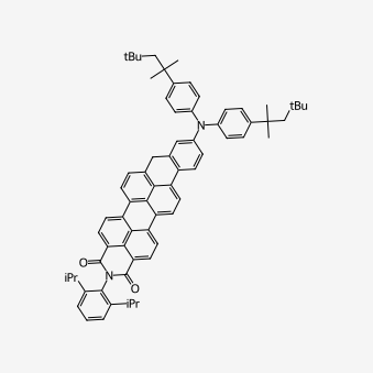 CC(C)c1cccc(C(C)C)c1N1C(=O)c2ccc3c4ccc5c6c(ccc(c7ccc(c2c37)C1=O)c64)-c1ccc(N(c2ccc(C(C)(C)CC(C)(C)C)cc2)c2ccc(C(C)(C)CC(C)(C)C)cc2)cc1C5